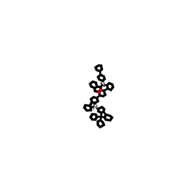 c1ccc(-c2ccc(N(c3ccccc3-c3ccc(-c4ccc5c6ccccc6n(-c6ccc7c(c6)C(c6ccccc6)(c6ccccc6)c6ccccc6-7)c5c4)cc3)c3cccc4ccccc34)cc2)cc1